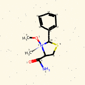 CO[N@+]1(C)C(C(N)=O)CSC1c1ccccc1